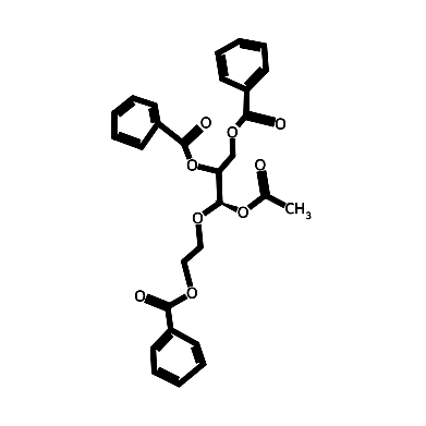 CC(=O)O[C@@H](OCCOC(=O)c1ccccc1)C(COC(=O)c1ccccc1)OC(=O)c1ccccc1